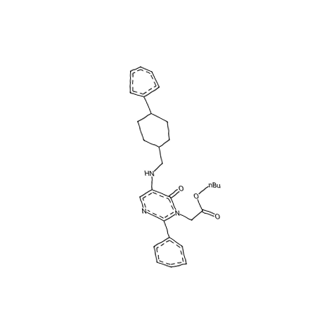 CCCCOC(=O)Cn1c(-c2ccccc2)ncc(NCC2CCC(c3ccccc3)CC2)c1=O